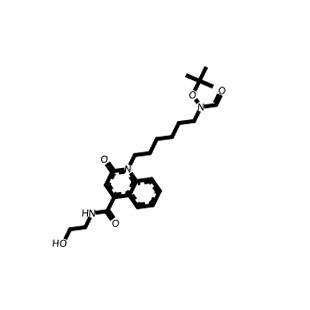 CC(C)(C)ON(C=O)CCCCCCn1c(=O)cc(C(=O)NCCO)c2ccccc21